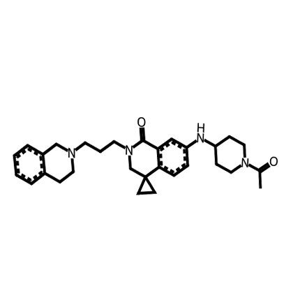 CC(=O)N1CCC(Nc2ccc3c(c2)C(=O)N(CCCN2CCc4ccccc4C2)CC32CC2)CC1